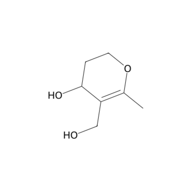 CC1=C(CO)C(O)CCO1